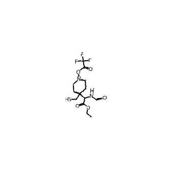 CCOC(=O)C(NC=O)C1(CS)CCN(OC(=O)C(F)(F)F)CC1